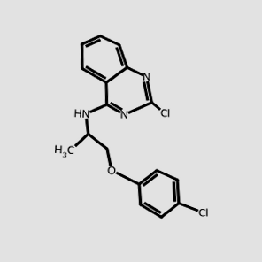 CC(COc1ccc(Cl)cc1)Nc1nc(Cl)nc2ccccc12